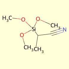 CO[Si](OC)(OC)C(C)C#N